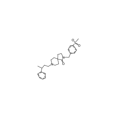 CC(CCN1CCC2(CC1)CCN(Cc1ccc(S(C)(=O)=O)cc1)C2=O)c1ccccc1